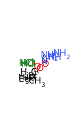 CC[C@H](CC[C@@H](C)C1CCC2C3CC=C4CC(OC(=O)CCCC(=O)N(CCCN)CCCCNCCCN)CCC4(C)C3CCC21C)C(C)C.Cl.Cl.Cl